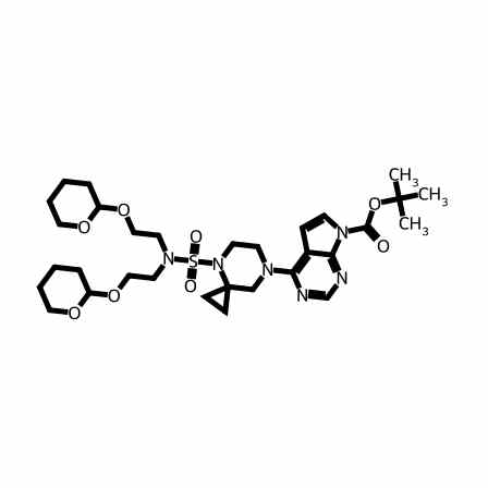 CC(C)(C)OC(=O)n1ccc2c(N3CCN(S(=O)(=O)N(CCOC4CCCCO4)CCOC4CCCCO4)C4(CC4)C3)ncnc21